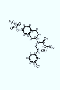 CC(C)(C)OC(=O)N(C[C@H](O)c1cccc(Cl)c1)[C@H]1CCc2ccc(OS(=O)(=O)C(F)(F)F)cc2C1